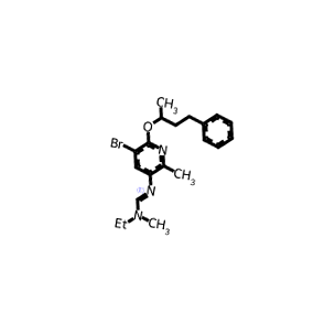 CCN(C)/C=N/c1cc(Br)c(OC(C)CCc2ccccc2)nc1C